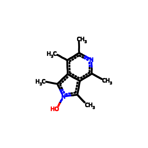 Cc1nc(C)c2c(C)n(O)c(C)c2c1C